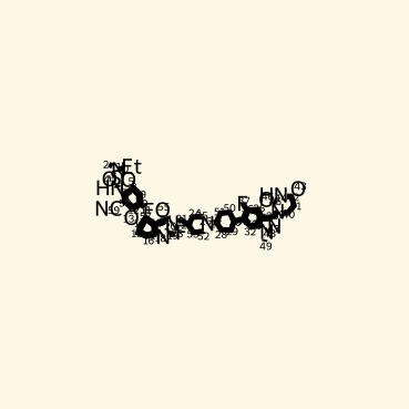 CCN(C)S(=O)(=O)Nc1ccc(F)c(Oc2ccc3ncn(CC4(F)CCN(C5CCC(c6cc7c(cc6F)c(N6CCC(=O)NC6=O)nn7C)CC5)CC4)c(=O)c3c2)c1C#N